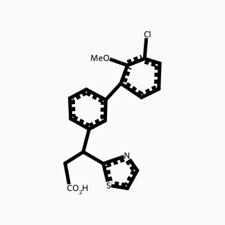 COc1c(Cl)cccc1-c1cccc(C(CC(=O)O)c2nccs2)c1